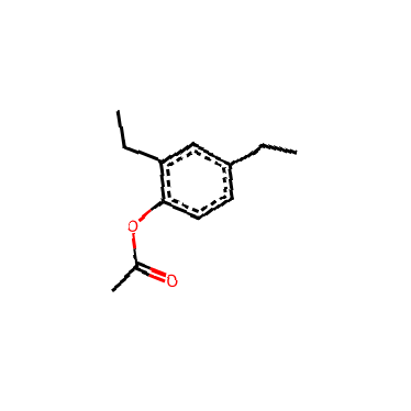 CCc1ccc(OC(C)=O)c(CC)c1